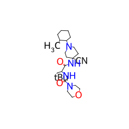 CC1CCCCC1N1CCC(C#N)(NC(=O)C(CC(C)(C)C)NC(=O)N2CCOCC2)CC1